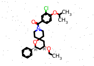 CCO[C@@H]1C[C@H](c2ccccc2)OC2(CCN(C(=O)c3ccc(OC(C)C)c(Cl)c3)CC2)C1